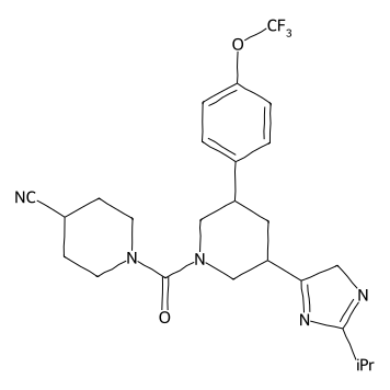 CC(C)C1=NCC(C2CC(c3ccc(OC(F)(F)F)cc3)CN(C(=O)N3CCC(C#N)CC3)C2)=N1